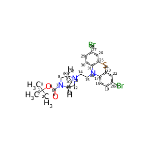 CC(C)(C)OC(=O)N1C[C@H]2C[C@@H]1CN2CCN1c2ccc(Br)cc2Sc2cc(Br)ccc21